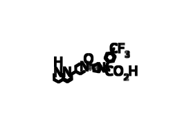 O=C(O)C(c1ccc(C(F)(F)F)cc1)N1CC[C@@H](C(=O)N2CCC(c3ccc4c(n3)NCCC4)CC2)C1